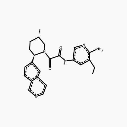 CCc1cc(NC(=O)C(=O)N2C[C@@H](C)CC[C@@H]2c2ccc3cnccc3c2)cnc1N